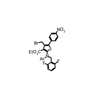 CCOC(=O)c1c(N(Cc2c(F)cccc2F)C(C)=O)sc(-c2ccc([N+](=O)[O-])cc2)c1CBr